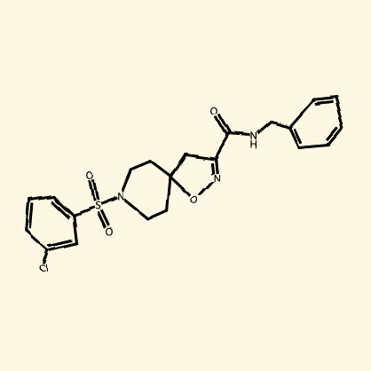 O=C(NCc1ccccc1)C1=NOC2(CCN(S(=O)(=O)c3cccc(Cl)c3)CC2)C1